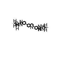 C[C@@H]1[C@@H]2C[C@@H](c3nc4ccc(-c5ccc6nc(-c7ccc8nc([C@@H]9C[C@H]%10[C@@H](C)[C@H]%10N9)[nH]c8c7)ccc6c5)cc4[nH]3)N[C@H]12